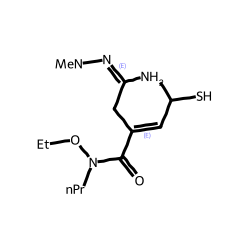 CCCN(OCC)C(=O)/C(=C/C(C)S)C/C(N)=N\NC